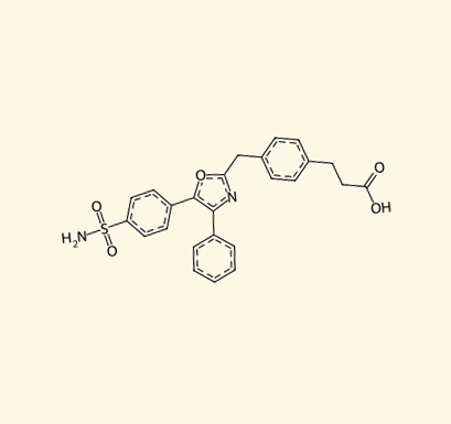 NS(=O)(=O)c1ccc(-c2oc(Cc3ccc(CCC(=O)O)cc3)nc2-c2ccccc2)cc1